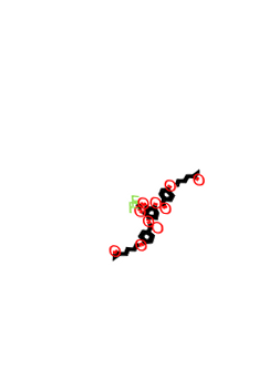 O=C(Oc1ccc(OC(=O)c2ccc(OCCCCC3CO3)cc2)c2c1OC(F)(F)O2)c1ccc(OCCCCC2CO2)cc1